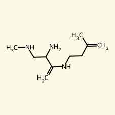 C=C(C)CCNC(=C)C(N)CNC